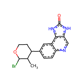 CC1C(Br)OCCC1c1ccc2ncc3[nH]c(=O)[nH]c3c2c1